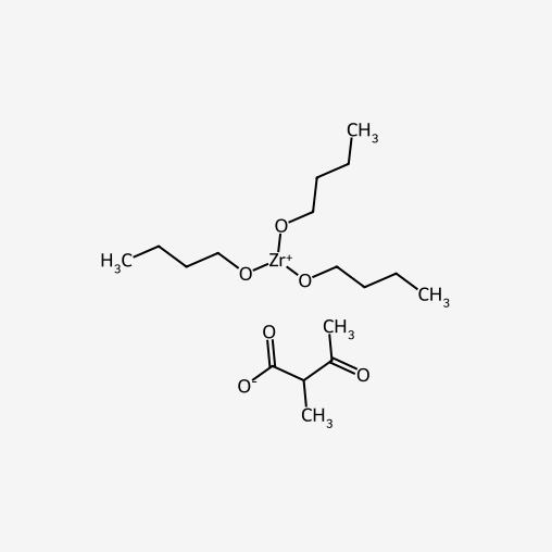 CC(=O)C(C)C(=O)[O-].CCCC[O][Zr+]([O]CCCC)[O]CCCC